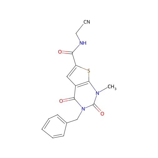 Cn1c(=O)n(Cc2ccccc2)c(=O)c2cc(C(=O)NCC#N)sc21